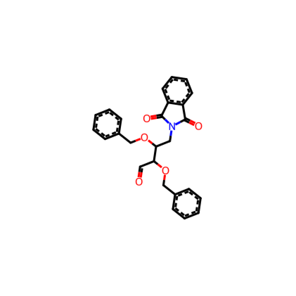 O=CC(OCc1ccccc1)C(CN1C(=O)c2ccccc2C1=O)OCc1ccccc1